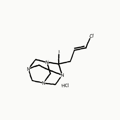 Cl.ClC=CCC1(I)N2CN3CN(C2)CN1C3